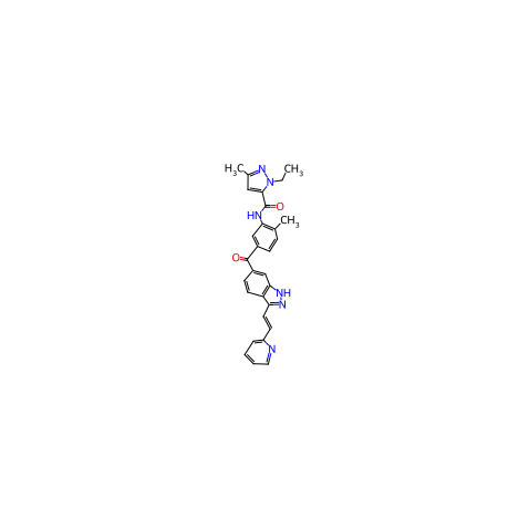 CCn1nc(C)cc1C(=O)Nc1cc(C(=O)c2ccc3c(/C=C/c4ccccn4)n[nH]c3c2)ccc1C